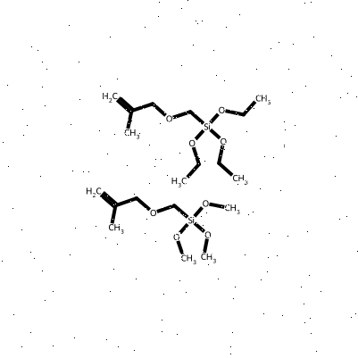 C=C(C)COC[Si](OC)(OC)OC.C=C(C)COC[Si](OCC)(OCC)OCC